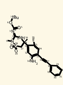 CN1/C(=N/C(=O)OC(C)(C)C)N[C@](C)(c2cc(N)c(C#Cc3ccccc3)cc2F)CS1(=O)=O